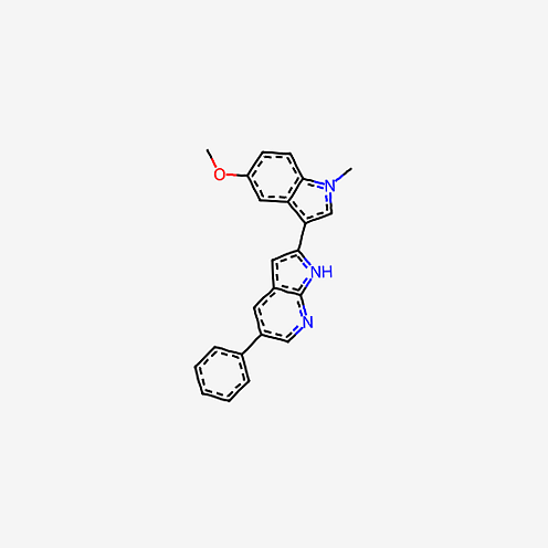 COc1ccc2c(c1)c(-c1cc3cc(-c4ccccc4)cnc3[nH]1)cn2C